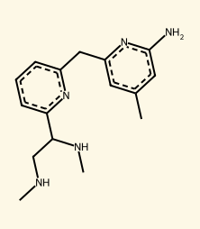 CNCC(NC)c1cccc(Cc2cc(C)cc(N)n2)n1